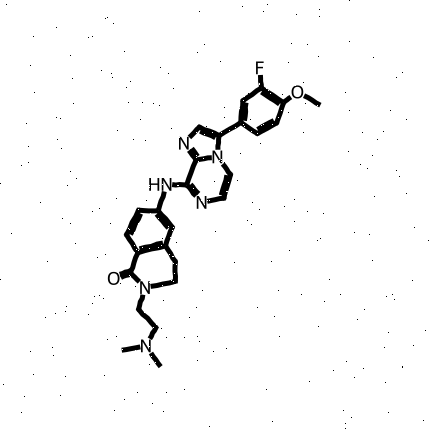 COc1ccc(-c2cnc3c(Nc4ccc5c(c4)CCN(CCN(C)C)C5=O)nccn23)cc1F